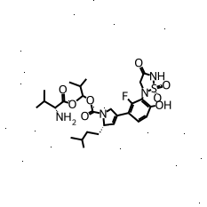 CC(C)CC[C@H]1C=C(c2ccc(O)c(N3CC(=O)NS3(=O)=O)c2F)CN1C(=O)OC(OC(=O)[C@H](N)C(C)C)C(C)C